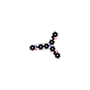 c1ccc2oc(-c3ccc(N(c4ccc(-c5ccc(-c6nc7ccccc7o6)cc5)cc4)c4ccc(-c5cc6ccccc6o5)cc4)cc3)cc2c1